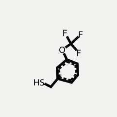 FC(F)(F)Oc1cccc(CS)c1